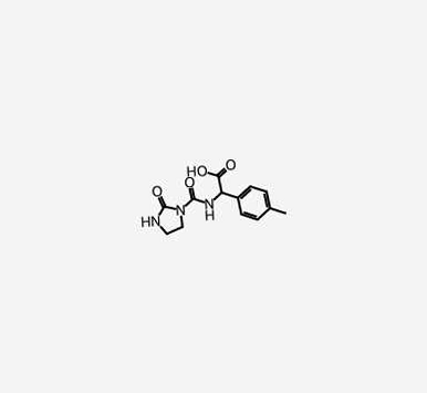 Cc1ccc(C(NC(=O)N2CCNC2=O)C(=O)O)cc1